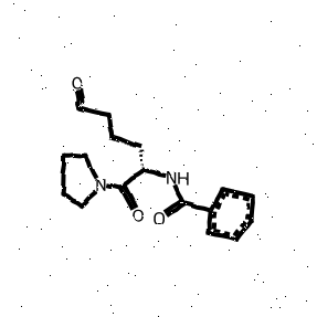 O=CCCC[C@H](NC(=O)c1ccccc1)C(=O)N1CCCC1